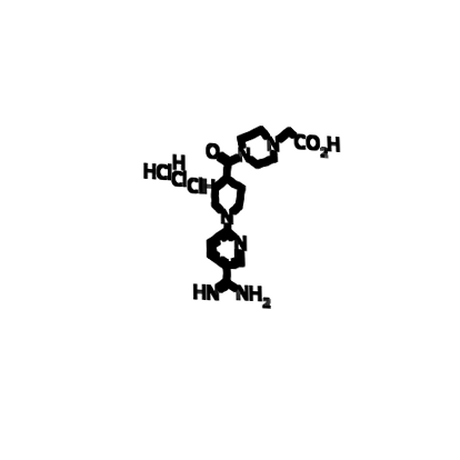 Cl.Cl.Cl.N=C(N)c1ccc(N2CCC(C(=O)N3CCN(CC(=O)O)CC3)CC2)nc1